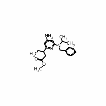 CCC(CC(=O)OC)c1cc(N)cc(N(Cc2ccccc2)C(C)C)n1